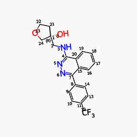 O[C@@]1(CNc2nnc(-c3ccc(C(F)(F)F)cc3)c3ccccc23)CCOC1